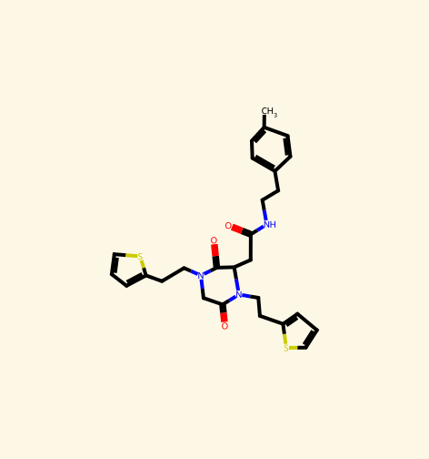 Cc1ccc(CCNC(=O)CC2C(=O)N(CCc3cccs3)CC(=O)N2CCc2cccs2)cc1